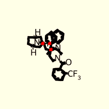 Cc1nc2ccccc2n1[C@H]1C[C@H]2CC[C@@H](C1)N2CCC1(c2ccccc2)CCN(C(=O)c2ccccc2C(F)(F)F)CC1